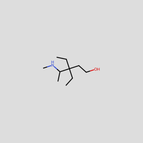 CCC(CC)(CCO)C(C)NC